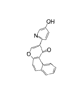 O=c1c(-c2ccc(O)cn2)coc2ccc3ccccc3c12